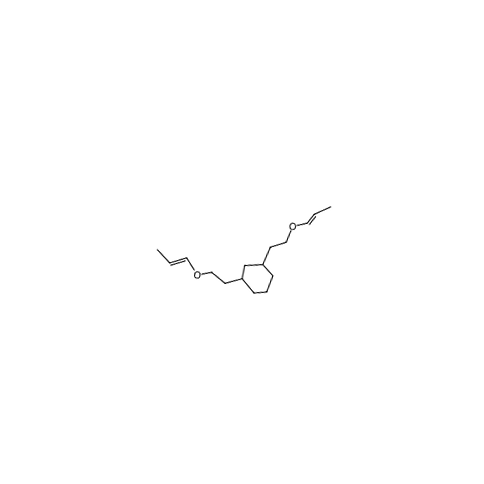 CC=COCCC1CCCC(CCOC=CC)C1